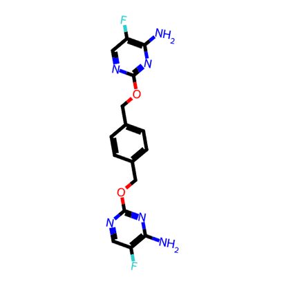 Nc1nc(OCc2ccc(COc3ncc(F)c(N)n3)cc2)ncc1F